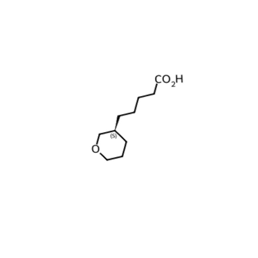 O=C(O)CCCC[C@H]1CCCOC1